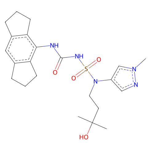 Cn1cc(N(CCC(C)(C)O)S(=O)(=O)NC(=O)Nc2c3c(cc4c2CCC4)CCC3)cn1